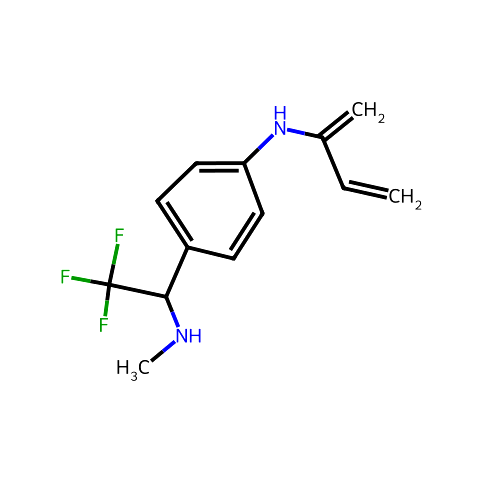 C=CC(=C)Nc1ccc(C(NC)C(F)(F)F)cc1